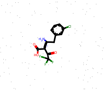 N/C(Cc1cccc(Cl)c1)=C(\C(=O)O)C(=O)C(F)(F)F